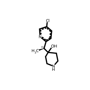 C[C@@H](c1ccc(Cl)cn1)C1(O)CCNCC1